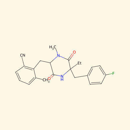 CCC1(Cc2ccc(F)cc2)NC(=O)C(Cc2c(C)cccc2C#N)N(C)C1=O